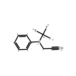 C#CCN(c1ccccc1)C(F)(F)F